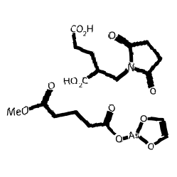 COC(=O)CCCC(=O)O[As]1OC=CO1.O=C(O)CCC(CN1C(=O)CCC1=O)C(=O)O